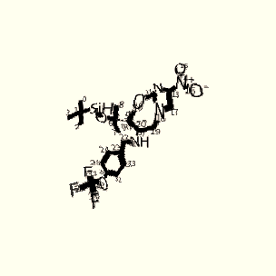 CC(C)(C)[SiH2]OC(C)(C)[C@@H]1Oc2nc([N+](=O)[O-])cn2C[C@@H]1NCc1ccc(OC(F)(F)F)cc1